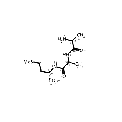 CSCC[C@H](NC(=O)[C@H](C)NC(=O)[C@H](C)N)C(=O)O